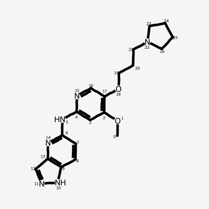 COc1cc(Nc2ccc3[nH]ncc3n2)ncc1OCCCN1CCCC1